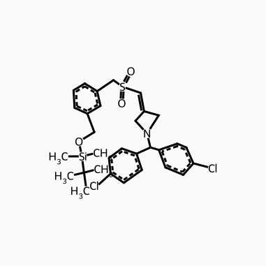 CC(C)(C)[Si](C)(C)OCc1cccc(CS(=O)(=O)C=C2CN(C(c3ccc(Cl)cc3)c3ccc(Cl)cc3)C2)c1